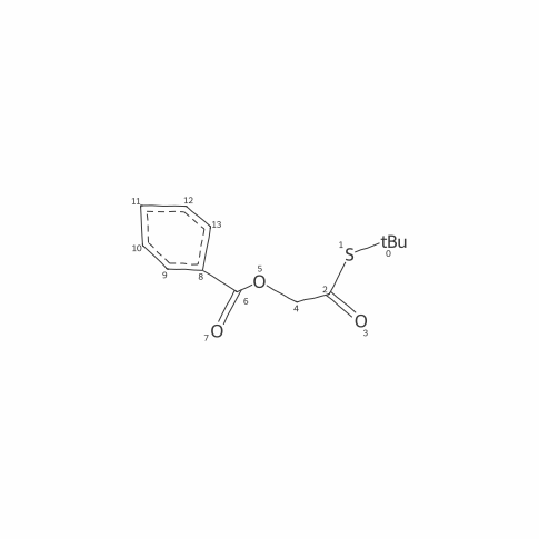 CC(C)(C)SC(=O)COC(=O)c1ccccc1